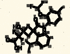 Cc1ccc(NC(=O)C2(c3ccccc3C(C)C)CC(O)(C(F)(F)C(=O)O)C2)c(OC(F)F)n1